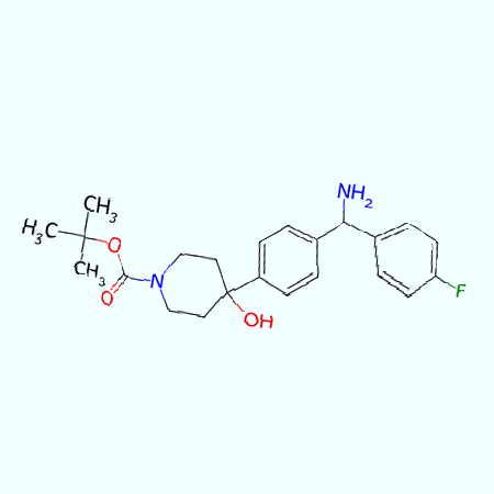 CC(C)(C)OC(=O)N1CCC(O)(c2ccc(C(N)c3ccc(F)cc3)cc2)CC1